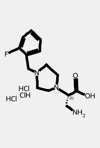 Cl.Cl.Cl.NC[C@@H](C(=O)O)N1CCN(Cc2ccccc2F)CC1